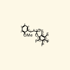 COc1ccccc1CCC(=O)Oc1c(F)c(F)c(F)c(F)c1F